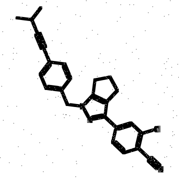 CC(C)C#Cc1ccc(Cn2nc(-c3ccc(C#N)c(Cl)c3)c3c2CCC3)cc1